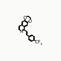 FC(F)(F)c1ccc(C=Cc2nccc3cc4c(cc23)OCCO4)cc1